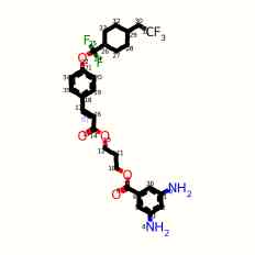 Nc1cc(N)cc(C(=O)OCCCOC(=O)/C=C/c2ccc(OC(F)(F)C3CCC(CC(F)(F)F)CC3)cc2)c1